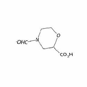 O=[C]N1CCOC(C(=O)O)C1